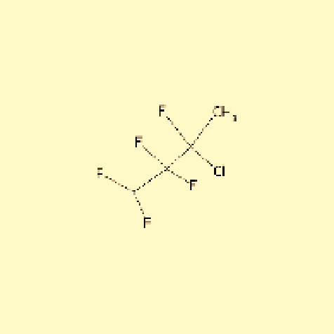 CC(F)(Cl)C(F)(F)C(F)F